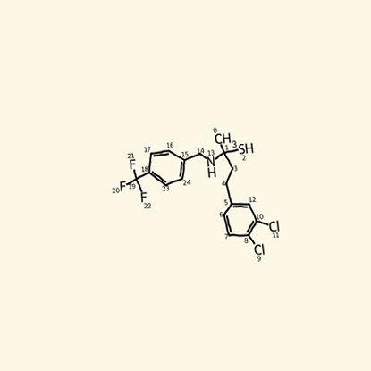 CC(S)(CCc1ccc(Cl)c(Cl)c1)NCc1ccc(C(F)(F)F)cc1